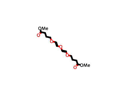 COC(=O)CCCOC=COC=COCCCC(=O)OC